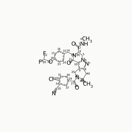 CNC(=O)[C@H]1Cn2nc3c(c2C(=O)N1Cc1ccc(OC(F)F)cc1)CN(C(=O)c1ccc(Cl)c(C#N)c1)[C@H](C)C3